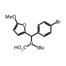 COc1ccc(C(c2ccc(Br)cc2)N(C(=O)O)C(C)(C)C)o1